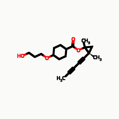 CC#CC#C[C@]1(C)CC1(C)OC(=O)C1CCC(OCCCO)CC1